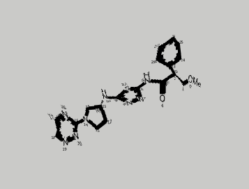 COC[C@@H](C(=O)Nc1nnc(N[C@@H]2CCN(c3nccnn3)C2)s1)c1ccccc1